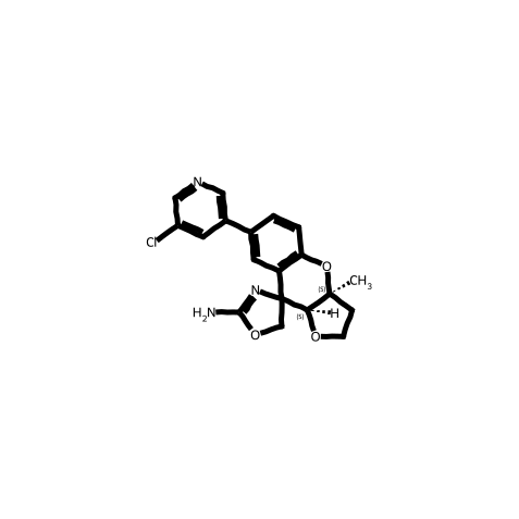 C[C@]12CCO[C@H]1C1(COC(N)=N1)c1cc(-c3cncc(Cl)c3)ccc1O2